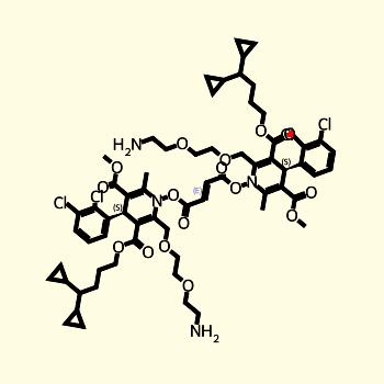 COC(=O)C1=C(C)N(OC(=O)/C=C/C(=O)ON2C(C)=C(C(=O)OC)[C@H](c3cccc(Cl)c3Cl)C(C(=O)OCCCC(C3CC3)C3CC3)=C2COCCOCCN)C(COCCOCCN)=C(C(=O)OCCCC(C2CC2)C2CC2)[C@H]1c1cccc(Cl)c1Cl